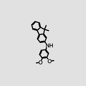 COc1ccc(Nc2ccc3c(c2)C(C)(C)c2ccccc2-3)cc1OC